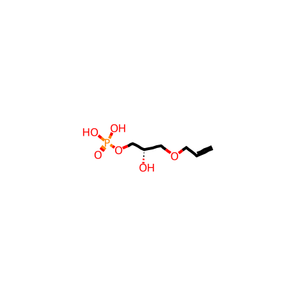 C=CCOC[C@H](O)COP(=O)(O)O